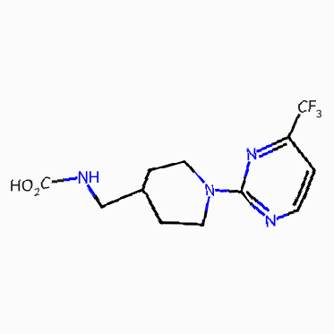 O=C(O)NCC1CCN(c2nccc(C(F)(F)F)n2)CC1